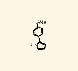 CSc1ccc(-c2ccc[nH]2)cc1